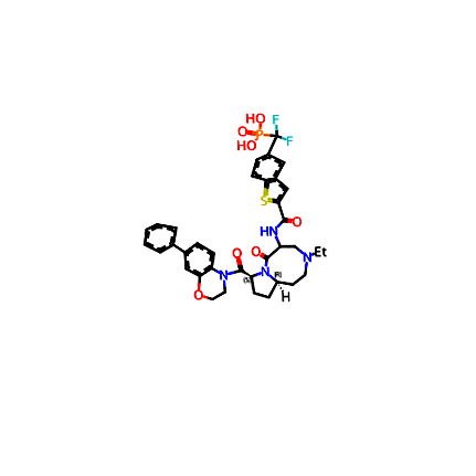 CCN1CC[C@H]2CC[C@@H](C(=O)N3CCOc4cc(-c5ccccc5)ccc43)N2C(=O)C(NC(=O)c2cc3cc(C(F)(F)P(=O)(O)O)ccc3s2)C1